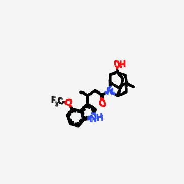 CC(CC(=O)N1C2CC3(C)CC1CC(O)(C2)C3)c1c[nH]c2cccc(OC(F)(F)F)c12